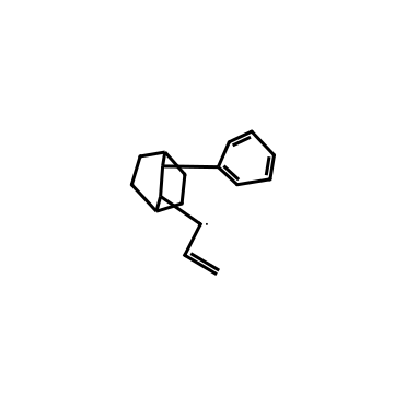 C=C[CH]C1C2CCC(CC2)C1c1ccccc1